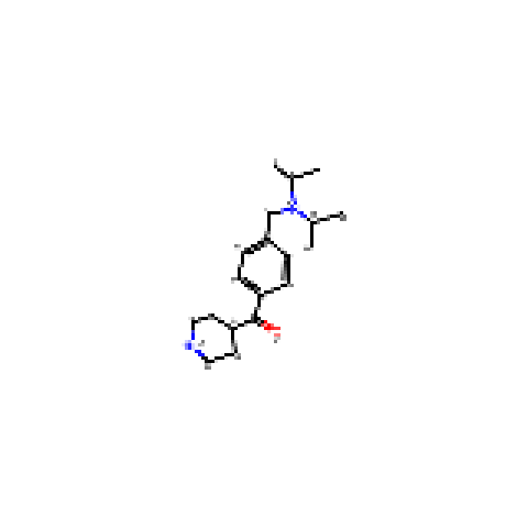 CC(C)N(Cc1ccc(C(=O)C2CCNCC2)cc1)C(C)C